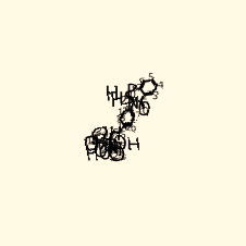 O=C(c1ccccc1P)N(S)c1ccc(CCC(P(=O)(O)O)P(=O)(O)O)cc1